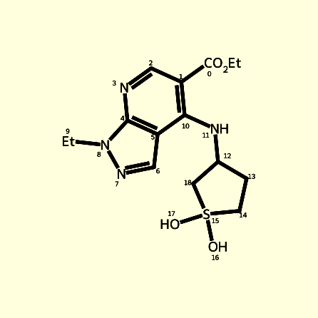 CCOC(=O)c1cnc2c(cnn2CC)c1NC1CCS(O)(O)C1